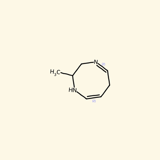 CC1C/N=C\C/C=C\N1